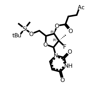 CC(=O)CCC(=O)O[C@@H]1C(CO[Si](C)(C)C(C)(C)C)OC(n2ccc(=O)[nH]c2=O)[C@]1(C)F